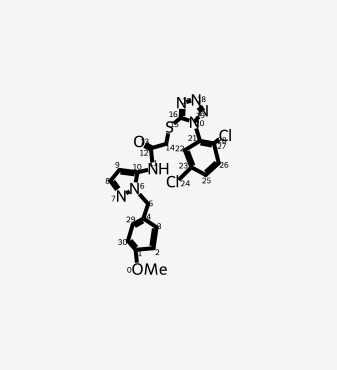 COc1ccc(Cn2nccc2NC(=O)CSc2nnnn2-c2cc(Cl)ccc2Cl)cc1